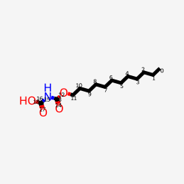 CCCCCCCCCCCCOC(=O)NC(=O)O